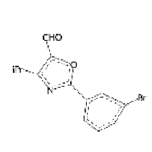 CC(C)c1nc(-c2cccc(Br)c2)oc1C=O